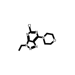 CCn1nnc2c(N3CCOCC3)nc(Cl)nc21